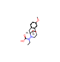 CCN(C(=O)O)N1CC[C@]23CCCC[C@H]2[C@@H]1Cc1ccc(OC)cc13